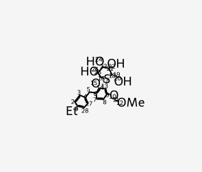 CCc1ccc(Cc2ccc(OCOC)cc2O[C@H]2S[C@@H](CO)[C@@H](O)[C@H](O)[C@H]2O)cc1